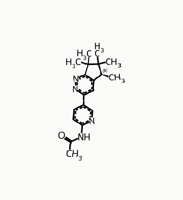 CC(=O)Nc1ccc(-c2cc3c(nn2)C(C)(C)C(C)(C)[C@H]3C)cn1